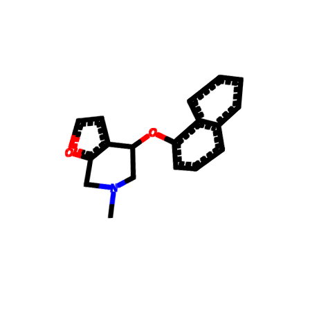 CN1Cc2occc2C(Oc2cccc3ccccc23)C1